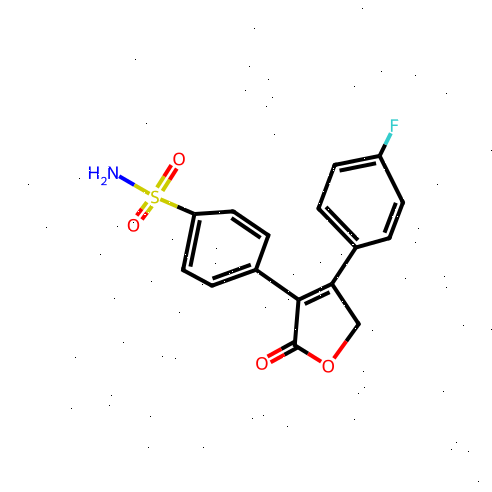 NS(=O)(=O)c1ccc(C2=C(c3ccc(F)cc3)COC2=O)cc1